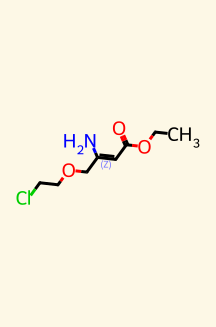 CCOC(=O)/C=C(\N)COCCCl